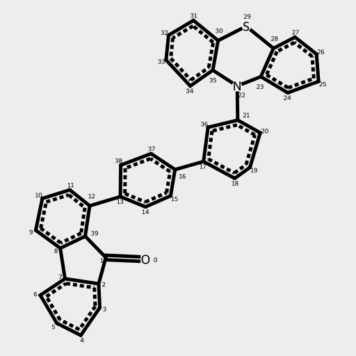 O=C1c2ccccc2-c2cccc(-c3ccc(-c4cccc(N5c6ccccc6Sc6ccccc65)c4)cc3)c21